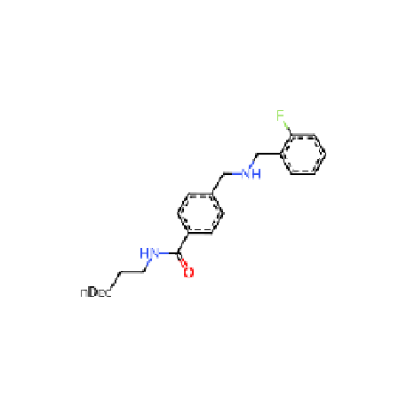 CCCCCCCCCCCCNC(=O)c1ccc(CNCc2ccccc2F)cc1